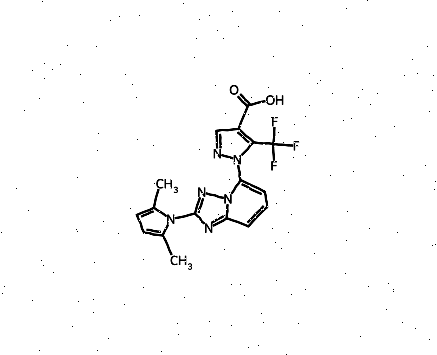 Cc1ccc(C)n1-c1nc2cccc(-n3ncc(C(=O)O)c3C(F)(F)F)n2n1